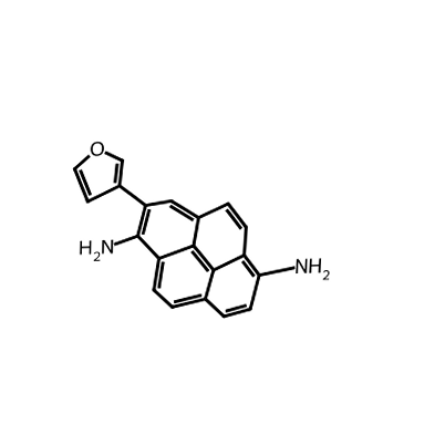 Nc1ccc2ccc3c(N)c(-c4ccoc4)cc4ccc1c2c43